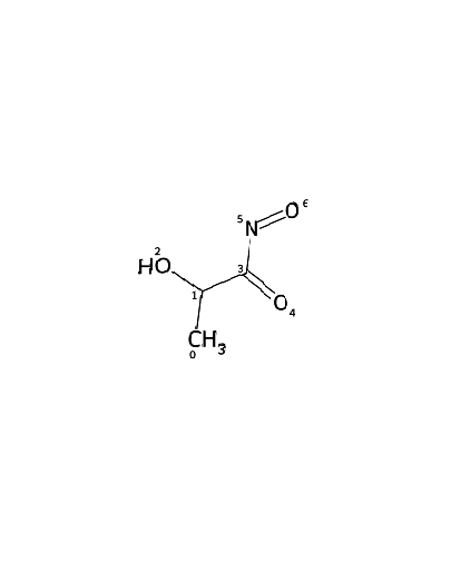 CC(O)C(=O)N=O